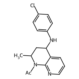 CC(=O)N1c2ncccc2C(Nc2ccc(Cl)cc2)CC1C